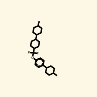 CC1CCC(c2ccc(OC(F)(F)C3CCC(C4CCC(C)CC4)CC3)cc2)CC1